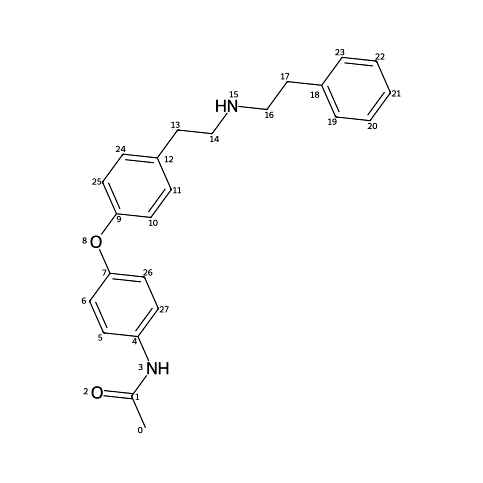 CC(=O)Nc1ccc(Oc2ccc(CCNCCc3ccccc3)cc2)cc1